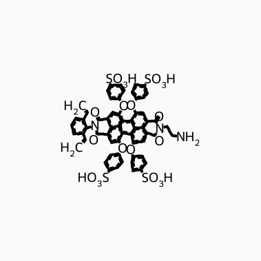 C=Cc1cccc(C=C)c1N1C(=O)c2cc(Oc3ccc(S(=O)(=O)O)cc3)c3c4c(Oc5ccc(S(=O)(=O)O)cc5)cc5c6c(cc(Oc7ccc(S(=O)(=O)O)cc7)c(c7c(Oc8ccc(S(=O)(=O)O)cc8)cc(c2c37)C1=O)c64)C(=O)N(CCN)C5=O